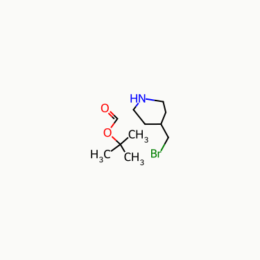 BrCC1CCNCC1.CC(C)(C)OC=O